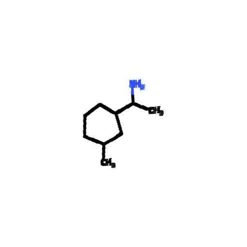 CC1CCCC(C(C)N)C1